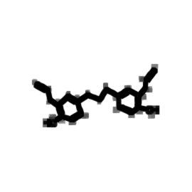 C=CCc1cc(CCCc2ccc(O)c(CC=C)c2)ccc1O